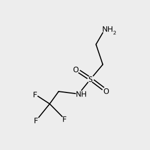 NCCS(=O)(=O)NCC(F)(F)F